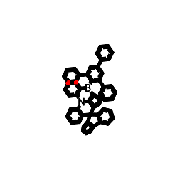 c1ccc(-c2cc(-c3ccccc3)c(B3c4ccccc4N4c5ccccc5C5(c6ccccc6-c6ccccc65)c5cccc3c54)c(-c3ccccc3)c2)cc1